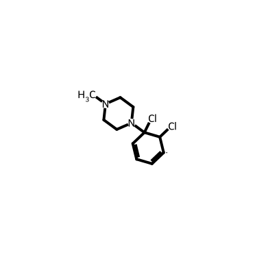 CN1CCN(C2(Cl)C=CC=[C]C2Cl)CC1